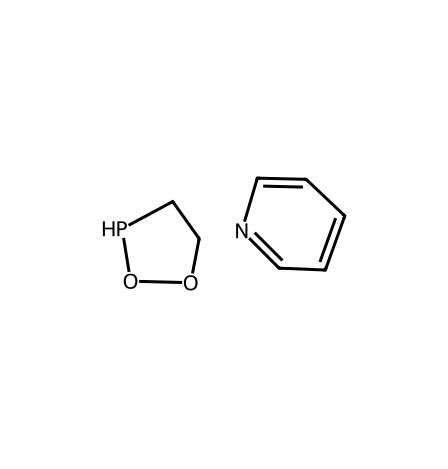 C1CPOO1.c1ccncc1